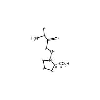 CC(N)C(=O)CON1CCC[C@H]1C(=O)O